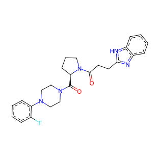 O=C([C@H]1CCCN1C(=O)CCc1nc2ccccc2[nH]1)N1CCN(c2ccccc2F)CC1